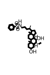 CC[C@H]1[C@@H](O)[C@H]2C3CCC([C@H](C)CCCNS(=O)(=O)c4ccccc4)C3(C)CCC2C2(C)CC[C@@H](O)C[C@H]12